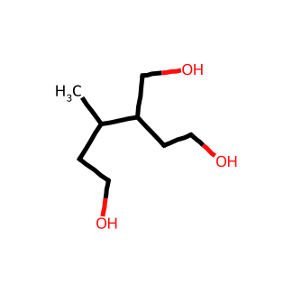 CC(CCO)C(CO)CCO